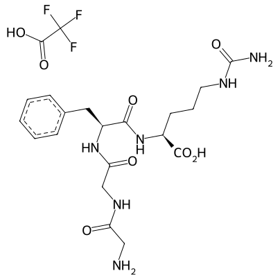 NCC(=O)NCC(=O)N[C@@H](Cc1ccccc1)C(=O)N[C@@H](CCCNC(N)=O)C(=O)O.O=C(O)C(F)(F)F